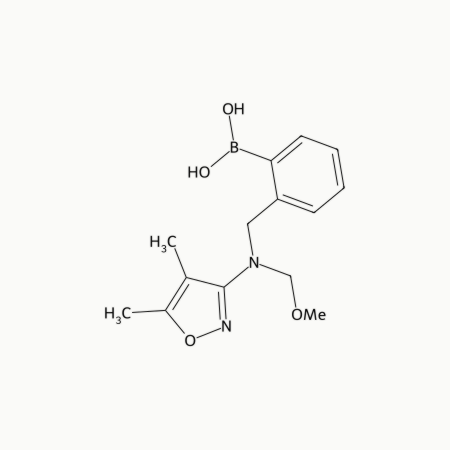 COCN(Cc1ccccc1B(O)O)c1noc(C)c1C